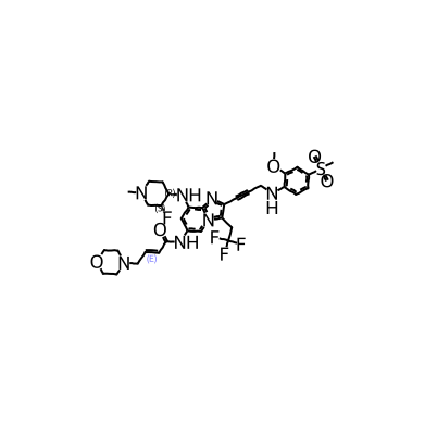 COc1cc(S(C)(=O)=O)ccc1NCC#Cc1nc2c(N[C@@H]3CCN(C)C[C@@H]3F)cc(NC(=O)/C=C/CN3CCOCC3)cn2c1CC(F)(F)F